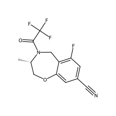 C[C@H]1COc2cc(C#N)cc(F)c2CN1C(=O)C(F)(F)F